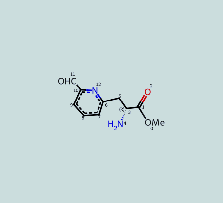 COC(=O)[C@H](N)Cc1cccc(C=O)n1